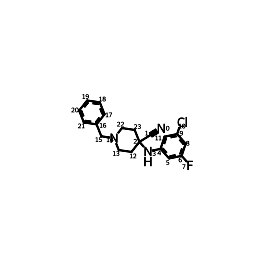 N#CC1(Nc2cc(F)cc(Cl)c2)CCN(Cc2ccccc2)CC1